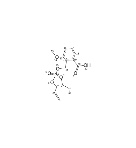 C=CCOP(=O)(OCC=C)OCc1c(OC)cccc1C(=O)O